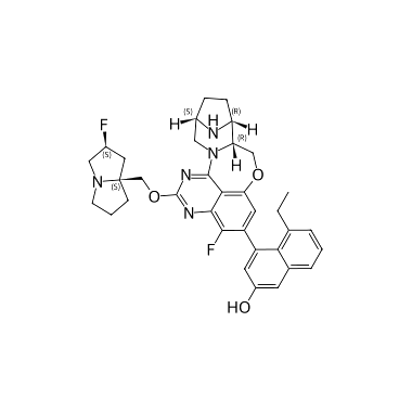 CCc1cccc2cc(O)cc(-c3cc4c5c(nc(OC[C@@]67CCCN6C[C@@H](F)C7)nc5c3F)N3C[C@@H]5CC[C@@H](N5)[C@@H]3CO4)c12